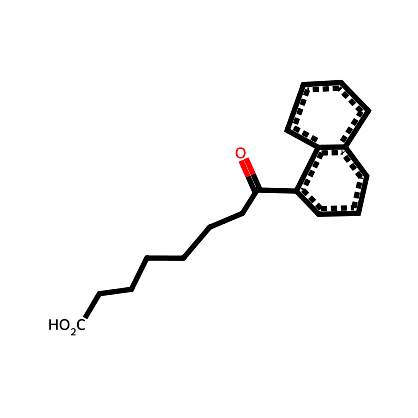 O=C(O)CCCCCCC(=O)c1cccc2ccccc12